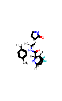 Cc1ccc(S(=O)(=O)O)cc1.N#C[C@H](C[C@@H]1CCNC1=O)NC(=O)[C@H]1N[C@H]2CC[C@@H]1C(F)(F)C2